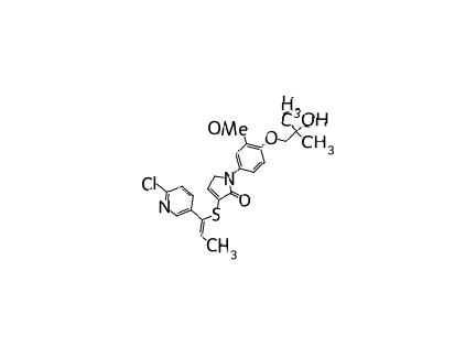 C/C=C(\SC1=CCN(c2ccc(OCC(C)(C)O)c(OC)c2)C1=O)c1ccc(Cl)nc1